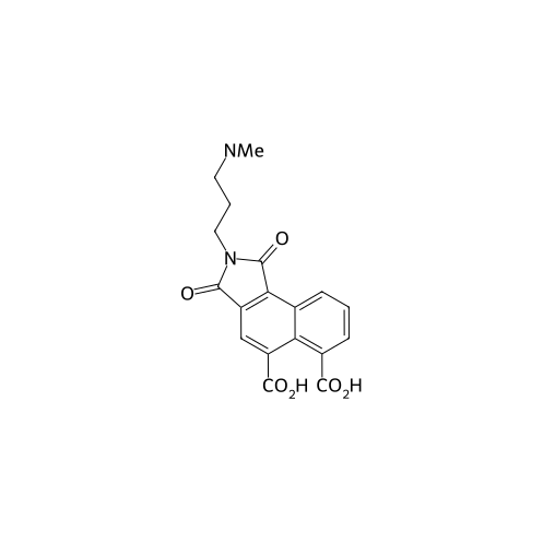 CNCCCN1C(=O)c2cc(C(=O)O)c3c(C(=O)O)cccc3c2C1=O